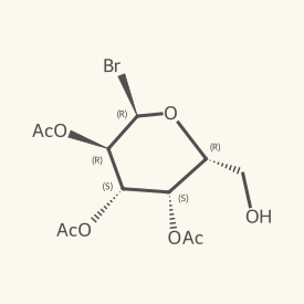 CC(=O)O[C@@H]1[C@@H](OC(C)=O)[C@@H](Br)O[C@H](CO)[C@@H]1OC(C)=O